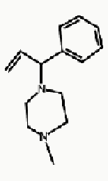 C=CC(c1ccccc1)N1CCN(C)CC1